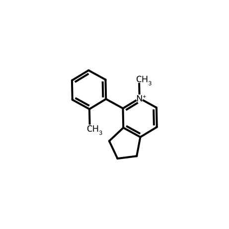 Cc1ccccc1-c1c2c(cc[n+]1C)CCC2